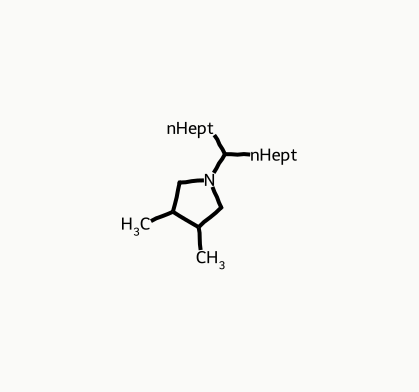 CCCCCCCC(CCCCCCC)N1CC(C)C(C)C1